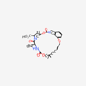 CC1(C)CC/C=C/COc2cccc3c2CN(C3)C(=O)O[C@@H]2CC(C(=O)O)N(C2)C(=O)[C@H](C(C)(C)C)NC(=O)OC1